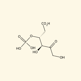 O=C(O)C[C@@H](OP(=O)(O)O)[C@H](O)C(=O)CO